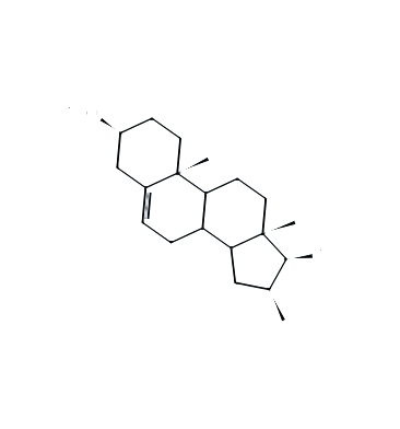 CC(=O)O[C@H]1CC[C@@]2(C)C(=CCC3C2CC[C@@]2(C)C3C[C@H](C)[C@@H]2C(C)=O)C1